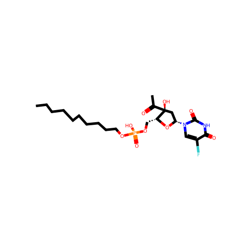 CCCCCCCCCCOP(=O)(O)OC[C@H]1O[C@@H](n2cc(F)c(=O)[nH]c2=O)C[C@@]1(O)C(C)=O